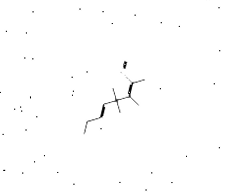 C=N/C(C)=C(/C)C(C)(C)C=CCC